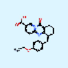 CCOc1ccc(/C=C2/CCCc3c2nc2ccc(C(=O)O)cn2c3=O)cc1